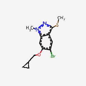 CSc1nn(C)c2cc(OCC3CC3)c(Br)cc12